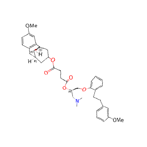 COc1cccc(CCc2ccccc2OC[C@@H](CN(C)C)OC(=O)CCC(=O)OC2C[C@H]3Cc4ccc(OC)cc4[C@@]4(CCCC[C@H]34)C2)c1